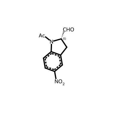 CC(=O)N1c2ccc([N+](=O)[O-])cc2C[C@H]1C=O